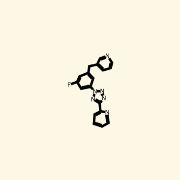 Fc1cc(Cc2cccnc2)cc(-n2nnc(-c3ccccn3)n2)c1